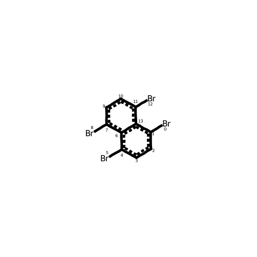 Brc1ccc(Br)c2c(Br)ccc(Br)c12